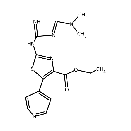 CCOC(=O)c1nc(NC(=N)N=CN(C)C)sc1-c1ccncc1